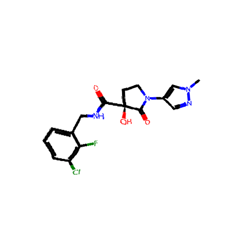 Cn1cc(N2CC[C@@](O)(C(=O)NCc3cccc(Cl)c3F)C2=O)cn1